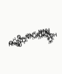 O=C1CCC(N2C(=O)c3ccc(N4CCC(N5CCC(N6CCN7c8cc(-c9ccccc9O)nnc8NC[C@H]7C6)CC5)C4)cc3C2=O)C(=O)N1